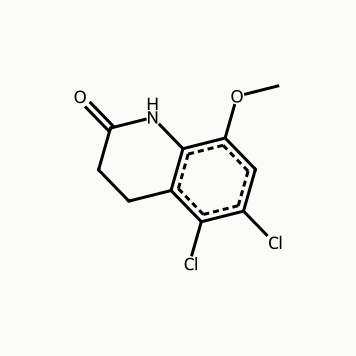 COc1cc(Cl)c(Cl)c2c1NC(=O)CC2